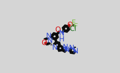 C[C@@H]1COCc2nc3cc(C(=O)Nc4ccc(OC(F)(F)Cl)cc4)cc(-c4cnc5c(c4)-c4nn(-c6ccncn6)cc4C5)c3n21